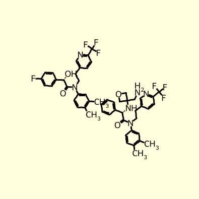 Cc1ccc(N(CCc2ccc(C(F)(F)F)nc2)C(=O)[C@@H](NC2(CN)COC2)c2ccccc2)cc1C.Cc1ccc(N(CCc2ccc(C(F)(F)F)nc2)C(=O)[C@@H](O)c2ccc(F)cc2)cc1C